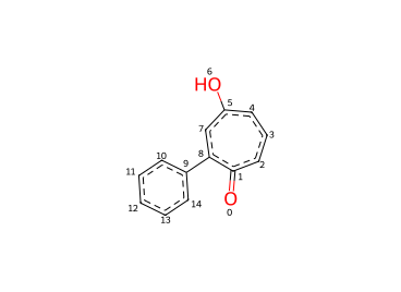 O=c1cccc(O)cc1-c1ccccc1